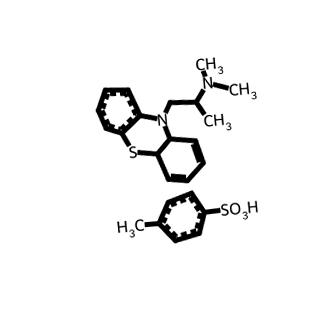 CC(CN1c2ccccc2SC2C=CC=CC21)N(C)C.Cc1ccc(S(=O)(=O)O)cc1